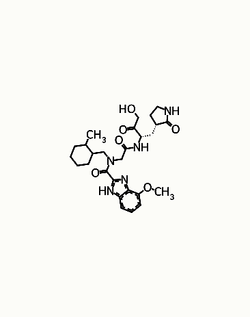 COc1cccc2[nH]c(C(=O)N(CC(=O)N[C@@H](C[C@@H]3CCNC3=O)C(=O)CO)CC3CCCCC3C)nc12